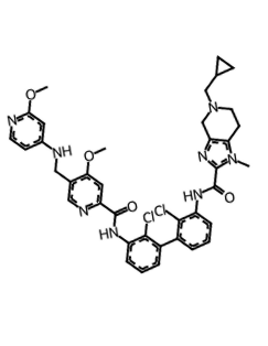 COc1cc(NCc2cnc(C(=O)Nc3cccc(-c4cccc(NC(=O)c5nc6c(n5C)CCN(CC5CC5)C6)c4Cl)c3Cl)cc2OC)ccn1